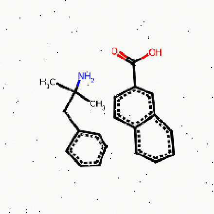 CC(C)(N)Cc1ccccc1.O=C(O)c1ccc2ccccc2c1